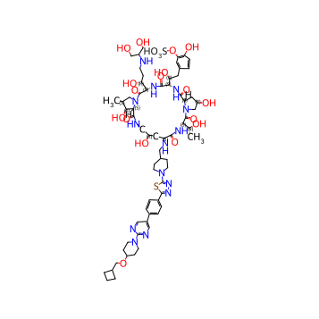 C[C@@H](O)[C@@H]1NC(=O)[C@@H](NCC2CCN(c3nnc(-c4ccc(-c5cnc(N6CCC(OCC7CCC7)CC6)nc5)cc4)s3)CC2)C[C@@H](O)CNC(=O)[C@@H]2[C@@H](O)[C@@H](C)CN2C(=O)[C@H]([C@H](O)CCNC(CO)CO)NC(=O)[C@H]([C@H](O)Cc2ccc(O)c(OS(=O)(=O)O)c2)NC(=O)[C@@H]2C[C@@H](O)CN2C1=O